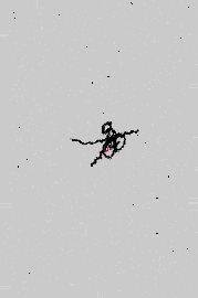 CCCCCCCCP(CCCCCCCC)(CCCCCCCC)(Cc1ccccc1)OC(C)=O